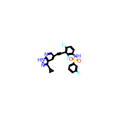 O=S(=O)(Nc1ccc(F)c(C#Cc2cnc3[nH]nc(C4CC4)c3c2)c1F)c1cccc(F)c1